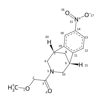 COCC(=O)N1C[C@H]2C[C@@H](C1)c1ccc([N+](=O)[O-])cc12